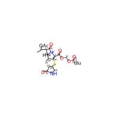 CC(=O)OC(C)C1C(=O)N2C(C(=O)OCOC(=O)C(C)(C)C)=C(SC3CNC(=O)C3)C(C)[C@@H]12